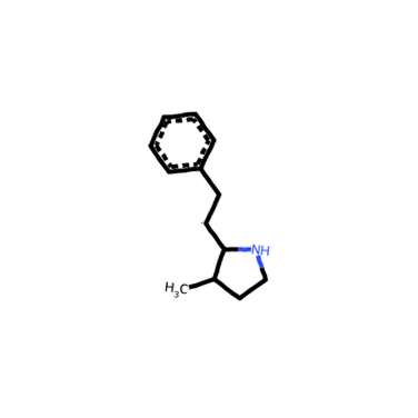 CC1CCNC1[CH]Cc1ccccc1